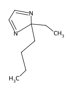 CCCCC1(CC)N=CC=N1